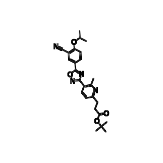 Cc1nc(CCC(=O)OC(C)(C)C)ccc1-c1noc(-c2ccc(OC(C)C)c(C#N)c2)n1